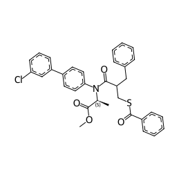 COC(=O)[C@H](C)N(C(=O)C(CSC(=O)c1ccccc1)Cc1ccccc1)c1ccc(-c2cccc(Cl)c2)cc1